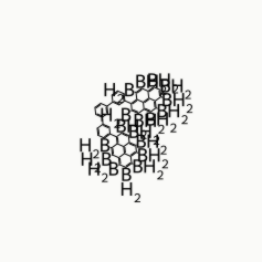 Bc1c(B)c2c(B)c(B)c3c(B)c(B)c(-c4cccc(-c5cccc(-c6cccc(-c7c(B)c(B)c8c(B)c(B)c9c(B)c(B)c(B)c%10c(B)c(B)c7c8c9%10)c6)c5)c4)c4c(B)c(B)c(c1B)c2c34